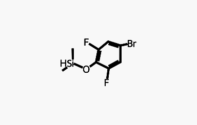 C[SiH](C)Oc1c(F)cc(Br)cc1F